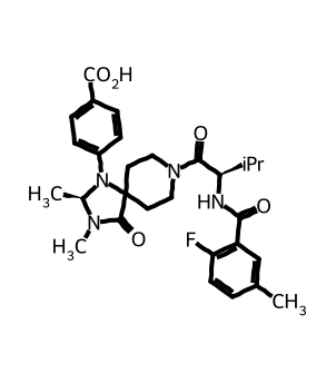 Cc1ccc(F)c(C(=O)N[C@@H](C(=O)N2CCC3(CC2)C(=O)N(C)[C@@H](C)N3c2ccc(C(=O)O)cc2)C(C)C)c1